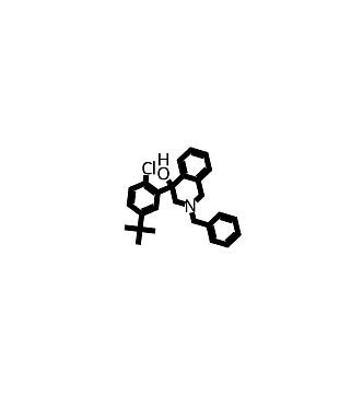 CC(C)(C)c1ccc(Cl)c(C2(O)CN(Cc3ccccc3)Cc3ccccc32)c1